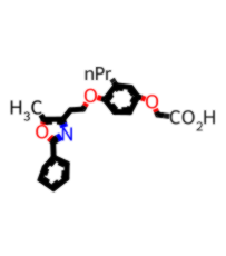 CCCc1cc(OCC(=O)O)ccc1OCCc1nc(-c2ccccc2)oc1C